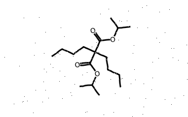 CCCCC(CCCC)(C(=O)OC(C)C)C(=O)OC(C)C